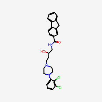 O=C(NCC(O)CCN1CCN(c2cccc(Cl)c2Cl)CC1)c1ccc2c(c1)Cc1ccccc1-2